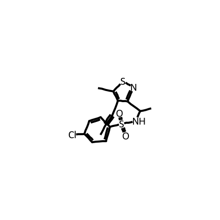 CC#Cc1c(C(C)NS(=O)(=O)c2ccc(Cl)cc2)nsc1C